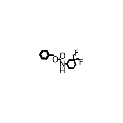 O=C(NC1CCCC(CF)(CF)C1)OCc1ccccc1